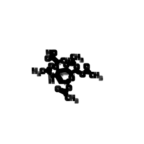 CC(=O)NC1=C[C@@H](OC(C)=O)O[C@H](COC(C)=O)[C@@H](OC(C)=O)[C@@H]1O[C@H](C)C(=O)O